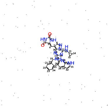 O=C1NC(=O)/C(=C/c2cnn3c(NC4CC4)nc(NCc4ccccc4-c4cnc5[nH]ccc5c4)nc23)N1